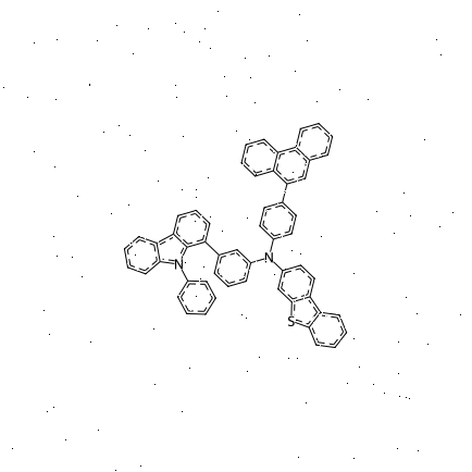 c1ccc(-n2c3ccccc3c3cccc(-c4cccc(N(c5ccc(-c6cc7ccccc7c7ccccc67)cc5)c5ccc6c(c5)sc5ccccc56)c4)c32)cc1